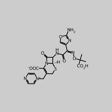 CC(C)(O/N=C(\C(=O)NC1C(=O)N2C(C(=O)[O-])=C(C[n+]3ccncc3)CS[C@H]12)c1coc(N)n1)C(=O)O